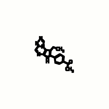 CCc1c(-c2ccc(C(C)=O)cc2)[nH]c2ncc3nncn3c12